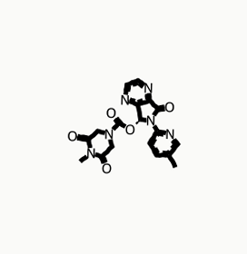 Cc1ccc(N2C(=O)c3nccnc3[C@H]2OC(=O)N2CC(=O)N(C)C(=O)C2)nc1